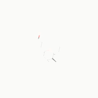 C=C1[C@H](C)C[C@H](CCC=O)O[C@@H]1CC